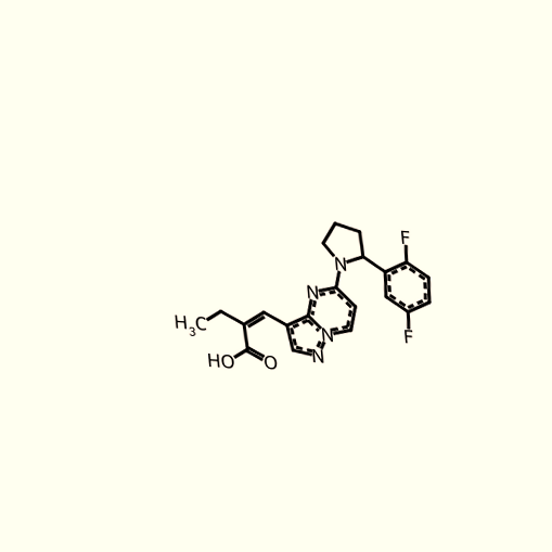 CCC(=Cc1cnn2ccc(N3CCCC3c3cc(F)ccc3F)nc12)C(=O)O